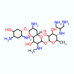 CNC1C(O[C@H]2OC(C)[C@@H](NC(CN)CN)[C@H](O)C2O)O[C@H]2CC(N)[C@@H](O[C@H]3CC(O)[C@H](N)CC3N)OC2C1O